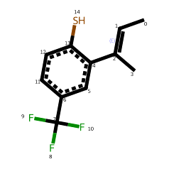 C/C=C(\C)c1cc(C(F)(F)F)ccc1S